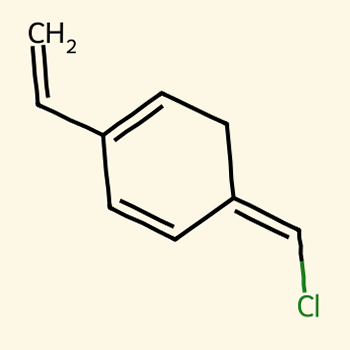 C=CC1=CCC(=CCl)C=C1